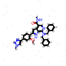 CNC(=O)c1cnc(N(Cc2ccccc2)Cc2ccccc2)c2[nH]c(-c3ccc(-c4cn(C)nn4)cc3OC)cc12